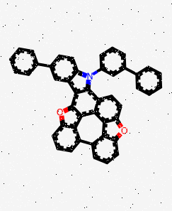 c1ccc(-c2cccc(-n3c4ccc(-c5ccccc5)cc4c4c5oc6cccc7c6c5c5c(ccc6oc8cccc-7c8c65)c43)c2)cc1